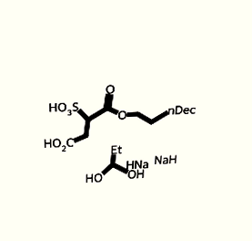 CCC(O)O.CCCCCCCCCCCCOC(=O)C(CC(=O)O)S(=O)(=O)O.[NaH].[NaH]